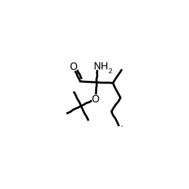 [CH2]CCC(C)C(N)(C=O)OC(C)(C)C